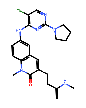 C=C(CCc1cc2cc(Nc3nc(N4CCCC4)ncc3Cl)ccc2n(C)c1=O)NC